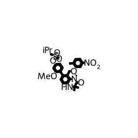 COc1cc(OS(=O)(=O)CC(C)C)ccc1-c1ccc2c(c1COc1cc([N+](=O)[O-])ccc1C)N(C)C(=O)C(C)(C)N2